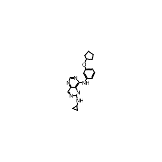 c1cc(Nc2ncnc3cnc(NC4CC4)nc23)cc(OC2CCCC2)c1